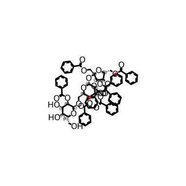 O=C(OC[C@H]1O[C@@](COC(=O)c2ccccc2)(O[C@H]2O[C@H](CO[C@H]3O[C@H](CO)[C@H](O)[C@H](O)[C@H]3OC(=O)c3ccccc3)[C@@H](OC(=O)c3ccccc3)[C@H](OC(=O)c3ccccc3)[C@H]2OC(=O)c2ccccc2)[C@@H](OC(=O)c2ccccc2)[C@@H]1OC(=O)c1ccccc1)c1ccccc1